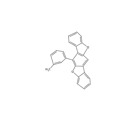 Cc1cccc(-c2c3oc4ccccc4c3cc3oc4ccccc4c23)c1